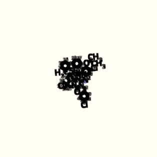 CC(C)Oc1ccc(/N=c2\n(N)c(=O)n(CC3(CCC(C)(C)[Si](O)(c4ccccc4)c4ccccc4)COC3)c(=O)n2Cc2ccc(Cl)cc2)cc1Cl